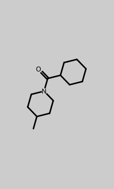 CC1CCN(C(=O)C2CCCCC2)CC1